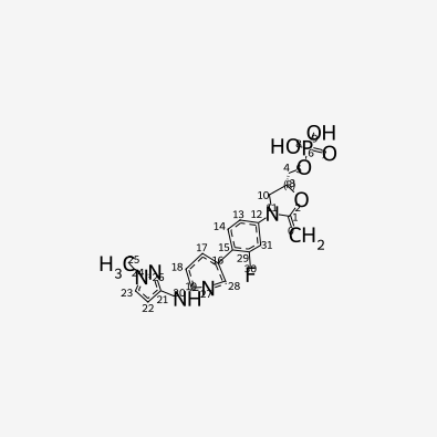 C=C1O[C@@H](COP(=O)(O)O)CN1c1ccc(-c2ccc(Nc3ccn(C)n3)nc2)c(F)c1